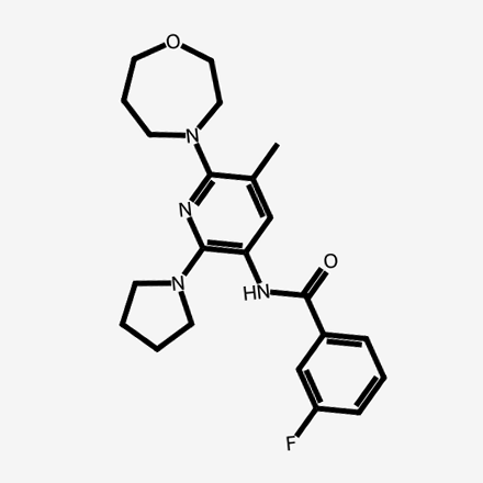 Cc1cc(NC(=O)c2cccc(F)c2)c(N2CCCC2)nc1N1CCCOCC1